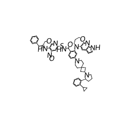 O=Nc1cc(SNC(=O)c2ccc(N3CCC4(CC3)CC(N3CCCC3c3ccccc3C3CC3)C4)cc2N2CCCOc3nc4[nH]ccc4cc32)nc2c1N[C@@H](Cc1ccccc1)CO2